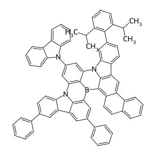 CC(C)c1cccc(C(C)C)c1-c1ccc2c3cc4c(ccc5ccccc54)c4c3n(c2c1)-c1cc(-n2c3ccccc3c3ccccc32)cc2c1B4c1cc(-c3ccccc3)cc3c4cc(-c5ccccc5)ccc4n-2c13